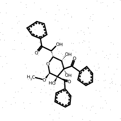 CO[C@H]1O[C@H](C(O)C(=O)c2ccccc2)[C@H](O)[C@@](O)(C(=O)c2ccccc2)[C@]1(O)C(=O)c1ccccc1